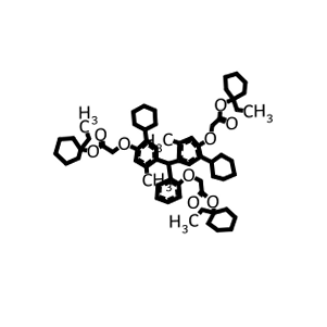 CCC1(OC(=O)COc2cc(C)c(C(c3cc(C4CCCCC4)c(OCC(=O)OC4(CC)CCCCC4)cc3C)c3ccccc3OCC(=O)OC3(CC)CCCCC3)cc2C2CCCCC2)CCCCC1